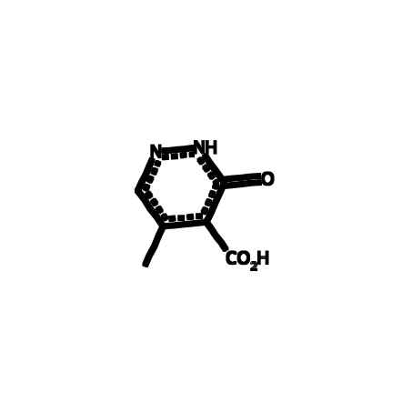 Cc1cn[nH]c(=O)c1C(=O)O